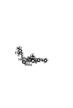 CCC(C)(C)c1ccc(OCCCC(=O)Nc2ccc(OC)c(NC(=O)C(Oc3ccc(S(=O)(=O)c4ccc(OCc5ccccc5)cc4)cc3)C(=O)C3(C)COC(C)(C)OC3)c2)c(C(C)(C)CC)c1